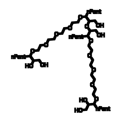 CCCCCC(OCCOCCOCCOCCOC(CCCCC)C(CO)OC(CO)C(CCCCC)OCCOCCOCCOCCOC(CCCCC)C(O)CO)C(O)CO